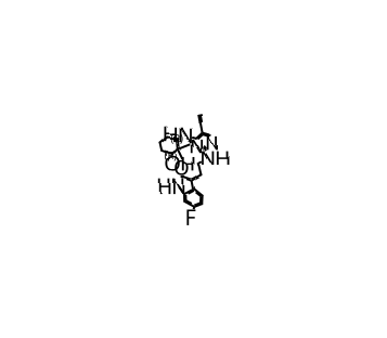 C#Cc1cnc(NCCC2C(=O)Nc3cc(F)ccc32)nc1N[C@@H]1CCC[C@@H](O)C1(C)C